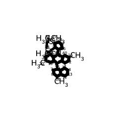 Cc1ccc2c(-c3ccc(C)c4ccccc34)c3cc(C)ccc3c(-c3cccc4c3[Si](C)(C)CC[Si]4(C)C)c2c1